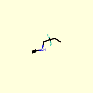 C#CNCC(F)(F)CC